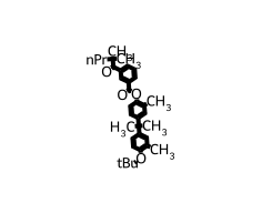 CCCC(C)(C)C(=O)c1cccc(C(=O)Oc2ccc(C(C)(C)c3ccc(OC(C)(C)C)c(C)c3)cc2C)c1